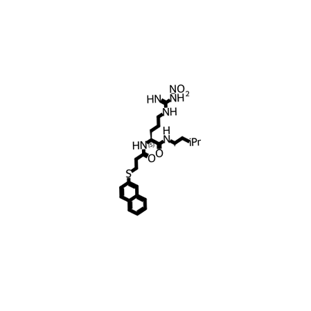 CC(C)C[CH]NC(=O)[C@H](CCCNC(=N)N[N+](=O)[O-])NC(=O)CCSc1ccc2ccccc2c1